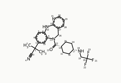 CC(C)(C#N)c1ccc2c(c1)N(C(=O)[C@H]1CC[C@@H](NCC(F)(F)F)CC1)Cc1cccnc1N2